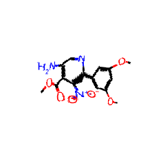 COC(=O)c1c(N)cnc(-c2cc(OC)cc(OC)c2)c1[N+](=O)[O-]